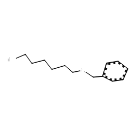 CC(C)CCCCCCNCc1ccccc1